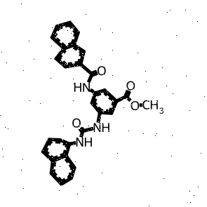 COC(=O)c1cc(NC(=O)Nc2cccc3ccccc23)cc(NC(=O)c2ccc3ccccc3c2)c1